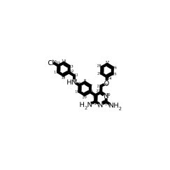 Nc1nc(N)c(-c2ccc(NCc3ccc(Cl)cc3)cc2)c(COc2ccccc2)n1